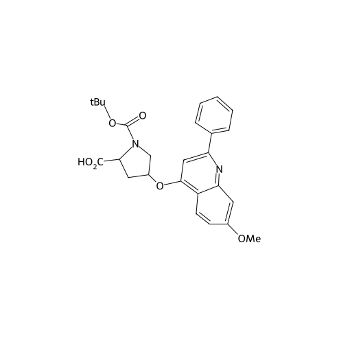 COc1ccc2c(OC3CC(C(=O)O)N(C(=O)OC(C)(C)C)C3)cc(-c3ccccc3)nc2c1